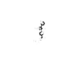 CCOC(=O)c1ccc(-n2[nH]cc(-c3cccnc3)c2=O)nc1